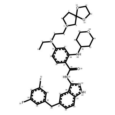 CCN(CCN1CCC2(C1)OCCO2)c1ccc(C(=O)Nc2n[nH]c3ccc(Cc4cc(F)cc(F)c4)cc23)c(NC2CCOCC2)c1